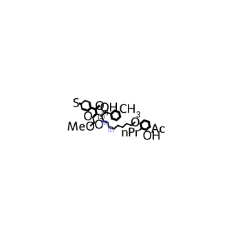 CCCc1c(OCCCC/C=C\C=C\[C@@H](c2c(C(=O)OC)oc3c(c2=O)=CCC(=S)C=3)[C@@H](O)c2cccc(C)c2)ccc(C(C)=O)c1O